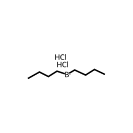 CCCC[B]CCCC.Cl.Cl